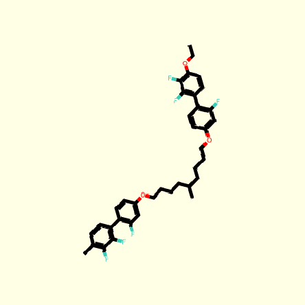 CCOc1ccc(-c2ccc(OCCCCC(C)CCCCOc3ccc(-c4ccc(C)c(F)c4F)c(F)c3)cc2F)c(F)c1F